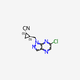 N#C[C@H]1C[C@@H]1Cn1ncc2ncc(Cl)nc21